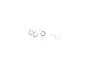 COc1c(-c2ccc(OCCCN3CCCCC3)cc2)n(C)c2ccccc2c1=O